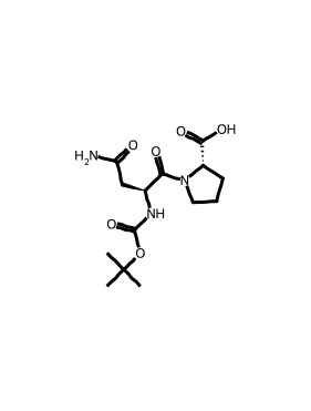 CC(C)(C)OC(=O)N[C@@H](CC(N)=O)C(=O)N1CCC[C@H]1C(=O)O